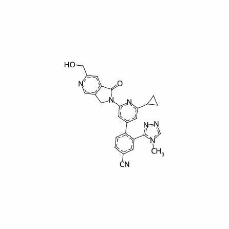 Cn1cnnc1-c1cc(C#N)ccc1-c1cc(C2CC2)nc(N2Cc3cnc(CO)cc3C2=O)c1